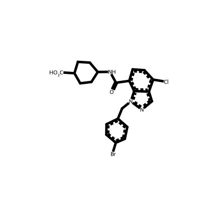 O=C(NC1CCC(C(=O)O)CC1)c1ccc(Cl)c2cnn(Cc3ccc(Br)cc3)c12